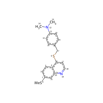 CSc1ccc2c(SCc3ccc(N(C)C)cc3)ccnc2c1